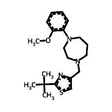 COc1ccccc1N1CCCN(Cc2csc(C(C)(C)C)n2)CC1